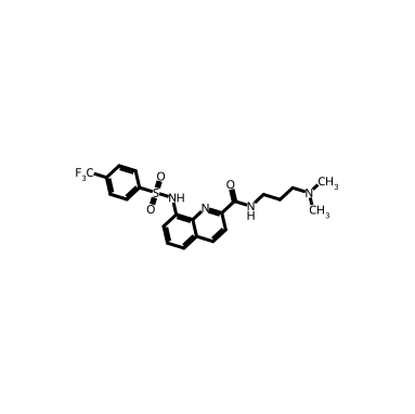 CN(C)CCCNC(=O)c1ccc2cccc(NS(=O)(=O)c3ccc(C(F)(F)F)cc3)c2n1